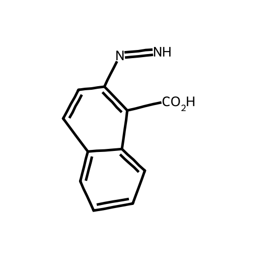 N=Nc1ccc2ccccc2c1C(=O)O